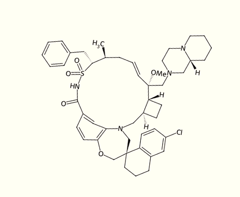 CO[C@@]1(CN2CCN3CCCC[C@@H]3C2)/C=C/C[C@H](C)[C@@H](Cc2ccccc2)S(=O)(=O)NC(=O)c2ccc3c(c2)N(C[C@@H]2CC[C@H]21)C[C@@]1(CCCc2cc(Cl)ccc21)CO3